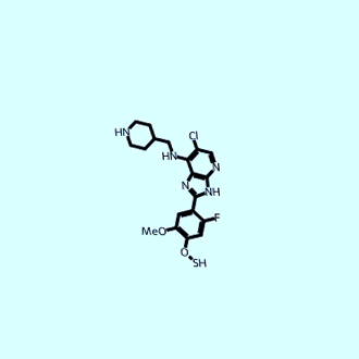 COc1cc(-c2nc3c(NCC4CCNCC4)c(Cl)cnc3[nH]2)c(F)cc1OS